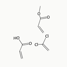 C=C(Cl)Cl.C=CC(=O)O.C=CC(=O)OC